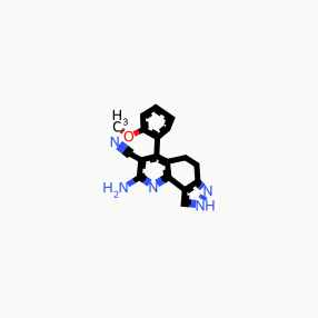 COc1ccccc1-c1c(C#N)c(N)nc2c1CCc1n[nH]cc1-2